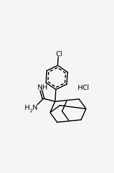 Cl.N=C(N)C1(c2ccc(Cl)cc2)C2CC3CC(C2)CC1C3